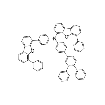 c1ccc(-c2ccc(-c3ccc(N(c4ccc(-c5cccc6c5oc5c(-c7ccccc7)cccc56)cc4)c4cccc5c4oc4c(-c6ccccc6)cccc45)cc3)cc2-c2ccccc2)cc1